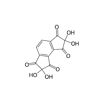 O=C1c2ccc3c(c2C(=O)C1(O)O)C(=O)C(O)(O)C3=O